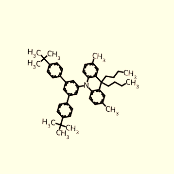 CCCCC1(CCCC)c2cc(C)ccc2N(c2cc(-c3ccc(C(C)(C)C)cc3)cc(-c3ccc(C(C)(C)C)cc3)c2)c2ccc(C)cc21